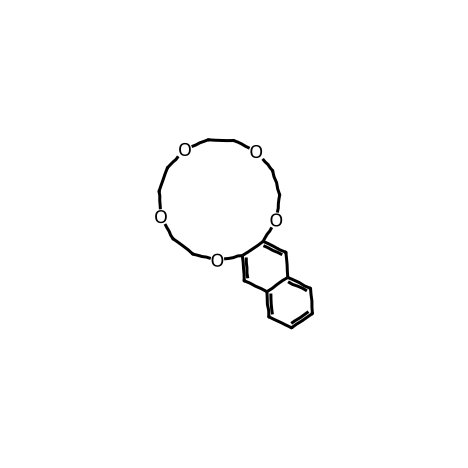 c1ccc2cc3c(cc2c1)OCCOCCOCCOCCO3